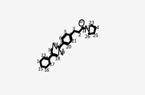 O=C(CCc1ccc(-c2ncc(C3=CCCCC3)cn2)cc1)N1CCCC1